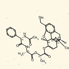 CC(=O)N[C@H](C(=O)N[C@@H](C)C(=O)O[C@@H](C)C(=O)OC1=CC[C@@]2(O)[C@H]3Cc4ccc(CO)c5c4[C@@]2(CCN3C)[C@H]1O5)c1ccccc1